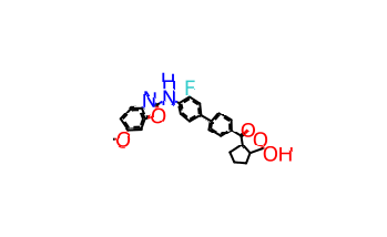 COc1ccc2nc(Nc3ccc(-c4ccc(C(=O)C5CCCC5C(=O)O)cc4)cc3F)oc2c1